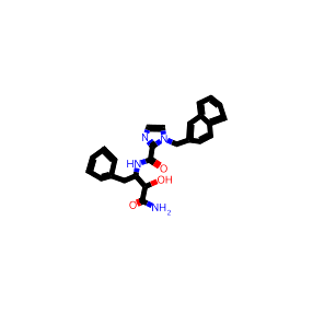 NC(=O)C(O)C(Cc1ccccc1)NC(=O)c1nccn1Cc1ccc2ccccc2c1